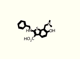 CN(C)Cc1c(O)ccc2c(C(=O)O)c(NCc3ccccc3)sc12